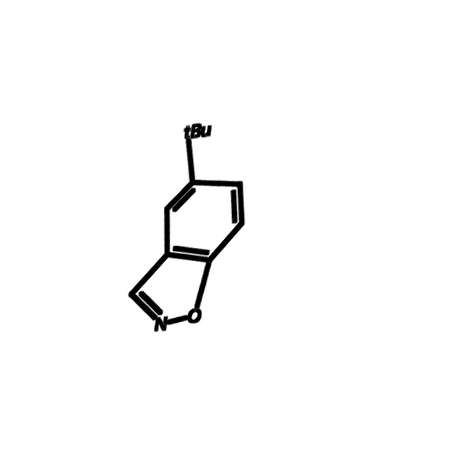 CC(C)(C)c1ccc2oncc2c1